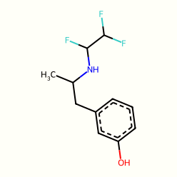 CC(Cc1cccc(O)c1)NC(F)C(F)F